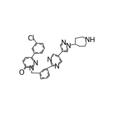 O=c1ccc(-c2cccc(Cl)c2)nn1Cc1cccc(-c2ncc(-c3cnn(C4CCNCC4)c3)cn2)c1